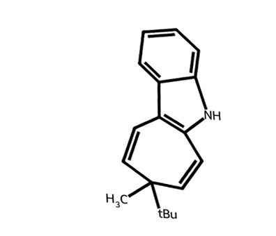 CC(C)(C)C1(C)C=Cc2[nH]c3ccccc3c2C=C1